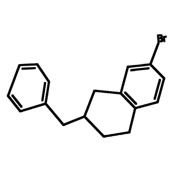 Brc1ccc2c(c1)CC(Cc1ccccc1)CC2